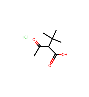 CC(=O)C(C(=O)O)C(C)(C)C.Cl